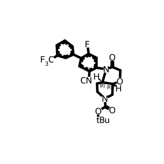 CC(C)(C)OC(=O)N1CC[C@@H]2[C@@H](C1)OCC(=O)N2c1cc(F)c(-c2cccc(C(F)(F)F)c2)cc1C#N